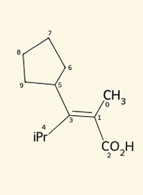 CC(C(=O)O)=C(C(C)C)C1CCCC1